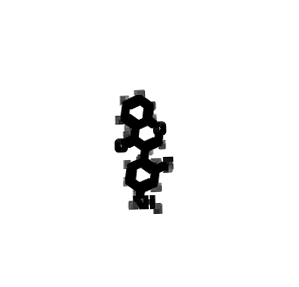 Nc1ccc(-c2coc3ccccc3c2=O)c(F)c1